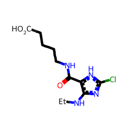 CCNc1nc(Cl)[nH]c1C(=O)NCCCCC(=O)O